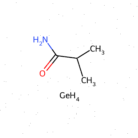 CC(C)C(N)=O.[GeH4]